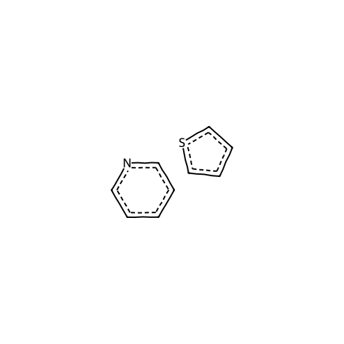 c1ccncc1.c1ccsc1